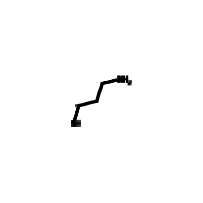 NCC[CH]S